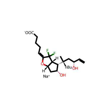 C=C[C@H](O)C[C@](C)(CCCC)[C@H]1[C@@H]2[C@H](C[C@H]1O)OC(=CCCCC(=O)[O-])C2(F)F.[Na+]